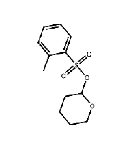 Cc1ccccc1S(=O)(=O)OC1CCCCO1